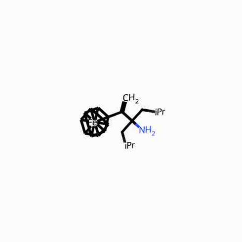 C=C(C(N)(CC(C)C)CC(C)C)[C]12[CH]3[CH]4[CH]5[CH]1[Fe]45321678[CH]2[CH]1[CH]6[CH]7[CH]28